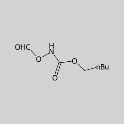 CCCCCOC(=O)NOC=O